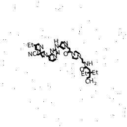 C=CCC(CC)(CC)CC(=O)NCCN1CCN(C(=O)Cn2cc(Nc3nc4c(N5CC(CC#N)(n6cc(CC)cn6)C5)cccn4n3)cn2)CC1